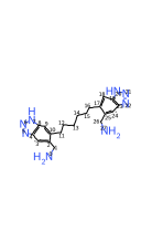 NCc1[c]c2nn[nH]c2cc1CCCCCCc1cc2[nH]nnc2[c]c1CN